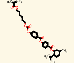 C=C(C)C(=O)OCCCCCCOC(=O)Oc1ccc(C(=O)Oc2ccc(C(=O)OC3CC(C)CCC3C(C)C)cc2)cc1